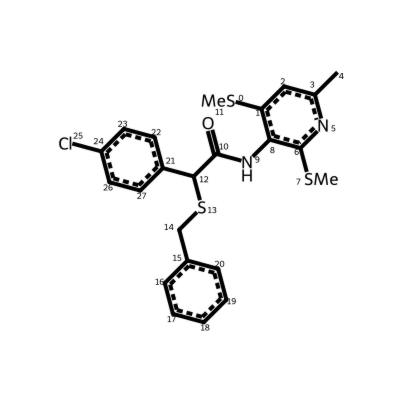 CSc1cc(C)nc(SC)c1NC(=O)C(SCc1ccccc1)c1ccc(Cl)cc1